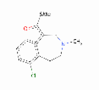 CSc1oc2ccc(Cl)c3c2c1CN(C)CC3